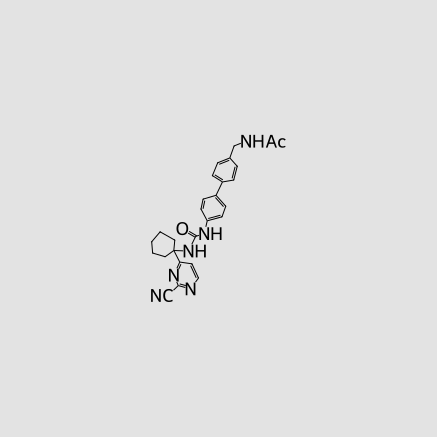 CC(=O)NCc1ccc(-c2ccc(NC(=O)NC3(c4ccnc(C#N)n4)CCCCC3)cc2)cc1